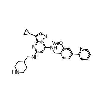 COc1cc(-c2ccccn2)ccc1CNc1cc(NCC2CCNCC2)nc2c(C3CC3)cnn12